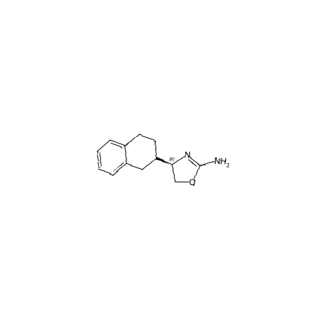 NC1=N[C@H](C2CCc3ccccc3C2)CO1